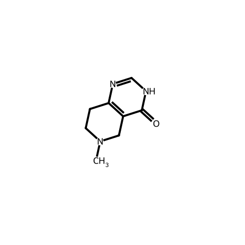 CN1CCc2nc[nH]c(=O)c2C1